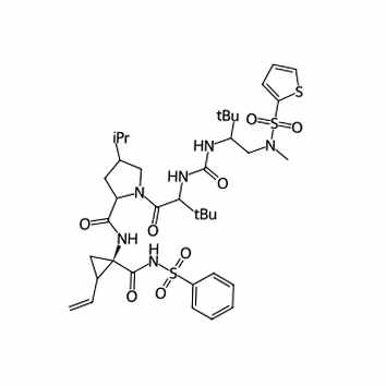 C=CC1C[C@]1(NC(=O)C1CC(C(C)C)CN1C(=O)C(NC(=O)NC(CN(C)S(=O)(=O)c1cccs1)C(C)(C)C)C(C)(C)C)C(=O)NS(=O)(=O)c1ccccc1